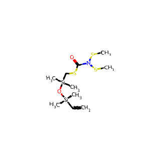 C=C[Si](C)(C)O[Si](C)(C)CSC(=O)N(SC)SC